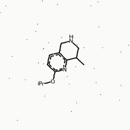 CC(C)Oc1ccc2c(n1)C(C)CNC2